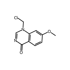 COc1ccc2c(=O)ncn(CCl)c2c1